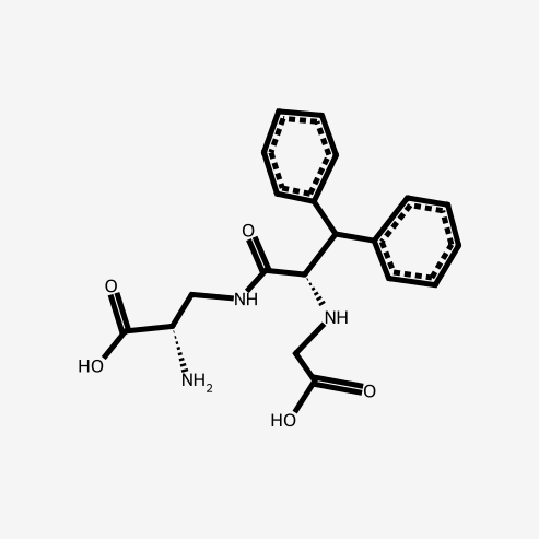 N[C@@H](CNC(=O)[C@@H](NCC(=O)O)C(c1ccccc1)c1ccccc1)C(=O)O